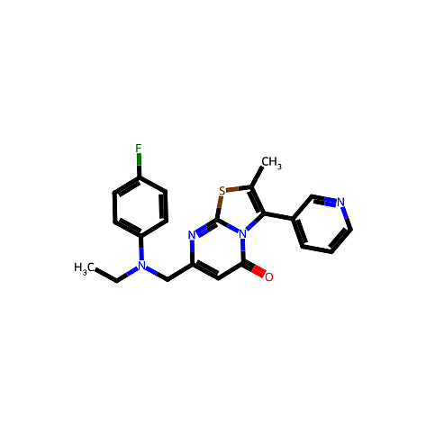 CCN(Cc1cc(=O)n2c(-c3cccnc3)c(C)sc2n1)c1ccc(F)cc1